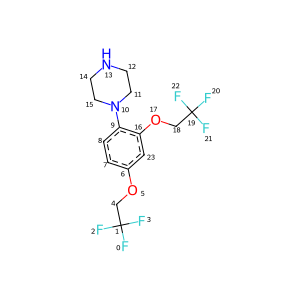 FC(F)(F)COc1ccc(N2CCNCC2)c(OCC(F)(F)F)c1